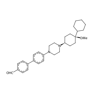 CO[C@]1(C2CCCCC2)CC[C@H](N2CCN(c3ccc(-c4ccc(C=O)cc4)cc3)CC2)CC1